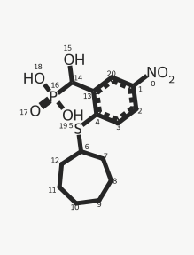 O=[N+]([O-])c1ccc(SC2CCCCCC2)c(C(O)P(=O)(O)O)c1